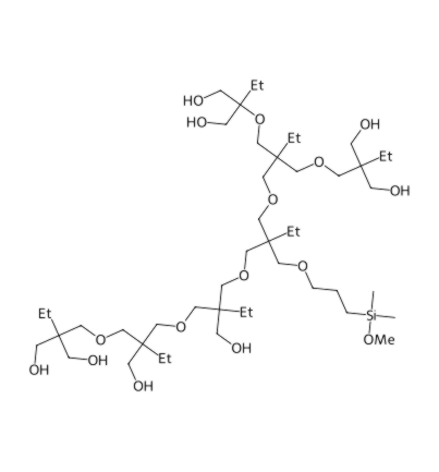 CCC(CO)(CO)COCC(CC)(CO)COCC(CC)(CO)COCC(CC)(COCCC[Si](C)(C)OC)COCC(CC)(COCC(CC)(CO)CO)COC(CC)(CO)CO